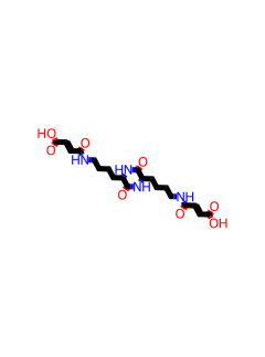 O=C(O)/C=C/C(=O)NCCCCC1NC(=O)C(CCCCNC(=O)/C=C/C(=O)O)NC1=O